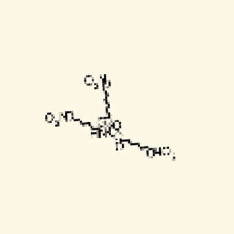 O=C(CCCCCO[N+](=O)[O-])NC(COC(=O)CCCCCO[N+](=O)[O-])C(=O)OCCCCCCO[N+](=O)[O-]